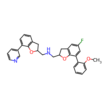 COc1ccccc1-c1cc(F)cc2c1OC(CNCC1Cc3cccc(-c4cccnc4)c3O1)C2